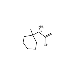 C=C(O)[C@@H](N)C1(C)CCCCC1